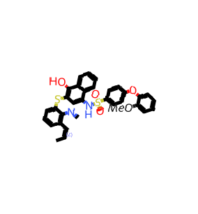 C=Nc1c(/C=C\C)cccc1Sc1cc(NS(=O)(=O)c2ccc(Oc3ccccc3OC)cc2)c2ccccc2c1O